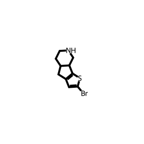 Brc1cc2c(s1)C1CNCCC1C2